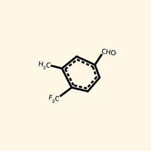 Cc1cc([C]=O)ccc1C(F)(F)F